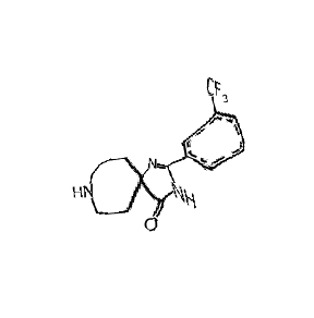 O=C1NC(c2cccc(C(F)(F)F)c2)=NC12CCNCC2